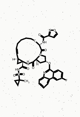 CC1(S(=O)(=O)NC(=O)[C@@]23C[C@H]2/C=C\CCCCC[C@H](NC(=O)c2ccon2)C(=O)N2C[C@H](Oc4nc5ccccc5c5cc(F)ccc45)C[C@H]2C(=O)N3)CC1